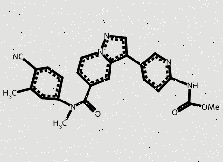 COC(=O)Nc1ccc(-c2cnn3ccc(C(=O)N(C)c4ccc(C#N)c(C)c4)cc23)cn1